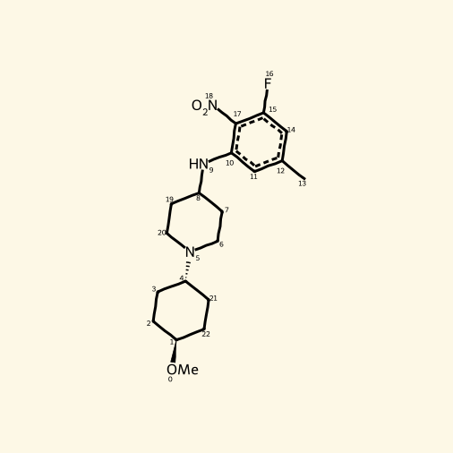 CO[C@H]1CC[C@H](N2CCC(Nc3cc(C)cc(F)c3[N+](=O)[O-])CC2)CC1